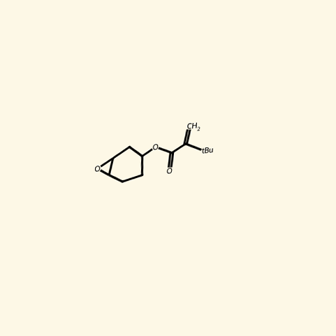 C=C(C(=O)OC1CCC2OC2C1)C(C)(C)C